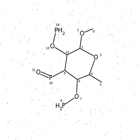 COC1OC(C)C(OP)C(P=O)C1OP